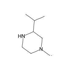 [CH2]N1CCNC(C(C)C)C1